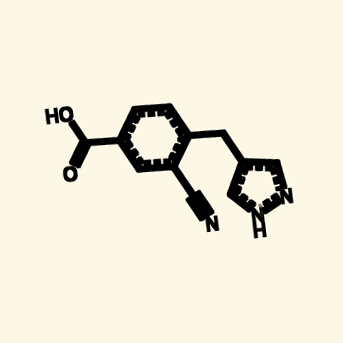 N#Cc1cc(C(=O)O)ccc1Cc1cn[nH]c1